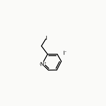 ICC1=CC=CC=[N+]1.[I-]